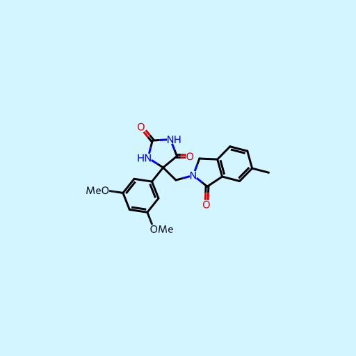 COc1cc(OC)cc(C2(CN3Cc4ccc(C)cc4C3=O)NC(=O)NC2=O)c1